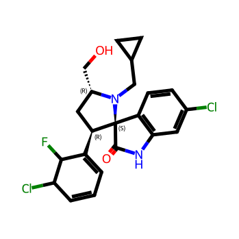 O=C1Nc2cc(Cl)ccc2[C@@]12[C@@H](C1=CC=CC(Cl)C1F)C[C@H](CO)N2CC1CC1